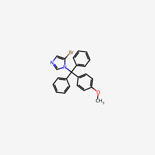 COc1ccc(C(c2ccccc2)(c2ccccc2)n2cncc2Br)cc1